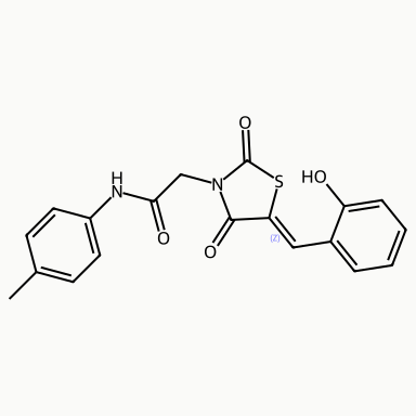 Cc1ccc(NC(=O)CN2C(=O)S/C(=C\c3ccccc3O)C2=O)cc1